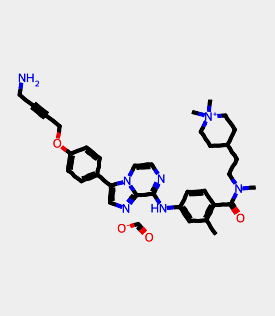 Cc1cc(Nc2nccn3c(-c4ccc(OCC#CCN)cc4)cnc23)ccc1C(=O)N(C)CCC1CC[N+](C)(C)CC1.O=C[O-]